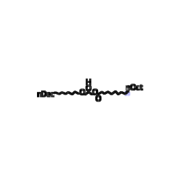 CCCCCCCC/C=C\CCCCCCCC(=O)OCC(O)COCCCCCCCCCCCCCCCCCC